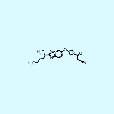 CCCCC(C)c1nc2ccc(OC3CN(C(=O)CC#N)C3)cn2n1